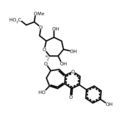 COC(CC(=O)O)OCC1O[C@@H](OC2C=c3occ(-c4ccc(O)cc4)c(=O)c3=C=C(O)C2)C(O)C(O)CC1O